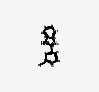 Fc1cc(-c2nc3ncccc3[nH]2)ccn1